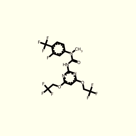 CN(C(=O)Nc1nc(OCC(F)(F)F)cc(OCC(F)(F)F)n1)c1ccc(C(F)(F)F)c(F)c1